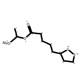 COC(C)OC(=O)CCCCC1CCSS1